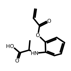 C=CC(=O)Oc1ccccc1NC(C)C(=O)O